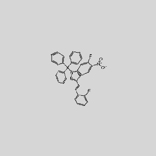 O=[N+]([O-])c1cc2c(C=Cc3ccccc3F)nn(C(c3ccccc3)(c3ccccc3)c3ccccc3)c2cc1F